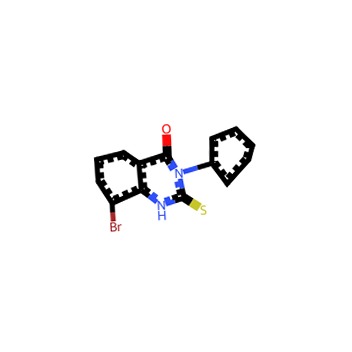 O=c1c2cccc(Br)c2[nH]c(=S)n1-c1ccccc1